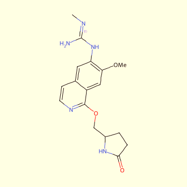 C/N=C(\N)Nc1cc2ccnc(OCC3CCC(=O)N3)c2cc1OC